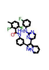 Cc1ccc(F)c(C(=O)Nc2cccc(-c3nn4ccccc4c3-c3ccnc(Nc4cccc(F)c4)n3)c2)c1F